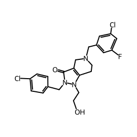 O=c1c2c(n(CCO)n1Cc1ccc(Cl)cc1)CCN(Cc1cc(F)cc(Cl)c1)C2